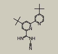 CC(C)(C)c1ccnc(-c2cc(C(C)(C)C)cc(C(=N)NC#N)n2)c1